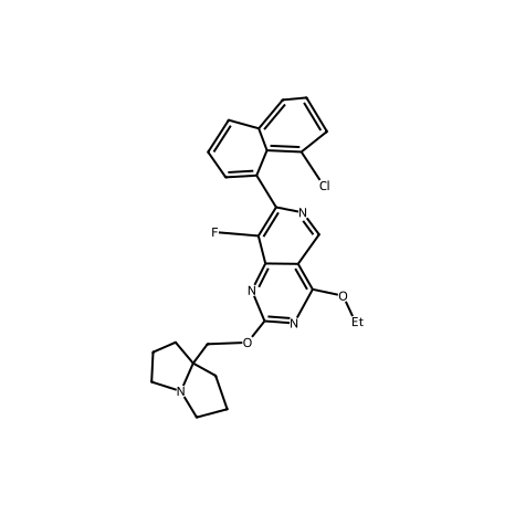 CCOc1nc(OCC23CCCN2CCC3)nc2c(F)c(-c3cccc4cccc(Cl)c34)ncc12